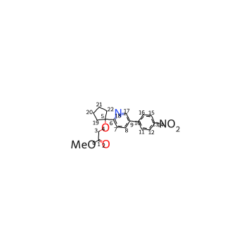 COC(=O)COC1(c2ccc(-c3ccc([N+](=O)[O-])cc3)cn2)CCCC1